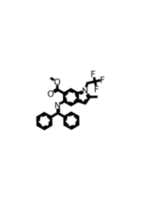 COC(=O)c1cc2c(cc1N=C(c1ccccc1)c1ccccc1)cc(C)n2CC(F)(F)F